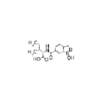 CCC(C)C(NC(=O)c1ccc2c(c1)B(O)OC2)C(=O)O